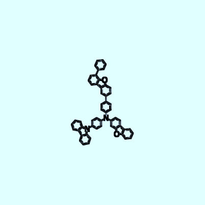 c1ccc(-c2cccc3c2oc2ccc(-c4ccc(N(c5ccc(-n6c7ccccc7c7ccccc76)cc5)c5ccc6c(c5)oc5ccccc56)cc4)cc23)cc1